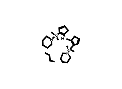 CCCC.C[Si](C)(C1=[C]([Hf][C]2=C([Si](C)(C)N3CCCCC3)C=CC2)CC=C1)N1CCCCC1